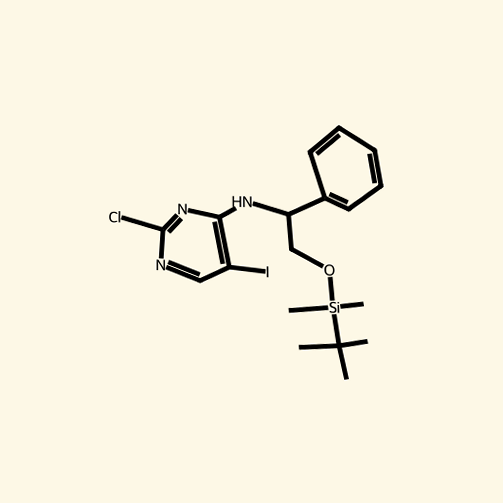 CC(C)(C)[Si](C)(C)OCC(Nc1nc(Cl)ncc1I)c1ccccc1